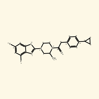 CC1CN(c2nc3c(F)cc(F)cc3s2)CCN1C(=O)Cc1ccc(C2CC2)cc1